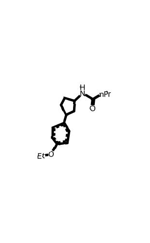 CCCC(=O)NC1CCC(c2ccc(OCC)cc2)C1